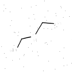 CCCC[AsH]CCCC